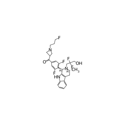 C[C@@H]1Cc2c([nH]c3ccccc23)[C@@H](c2c(F)cc(C(=O)C3CN(CCCF)C3)cc2F)N1CC(F)(F)CO